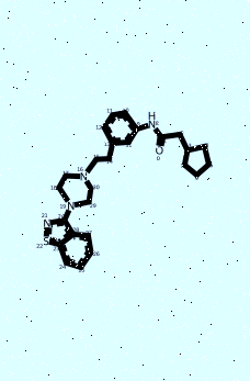 O=C(CC1CCCC1)Nc1cccc(CCN2CCN(c3nsc4ccccc34)CC2)c1